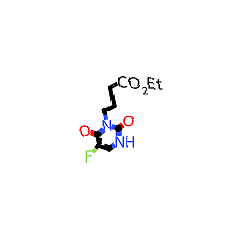 CCOC(=O)CCCn1c(=O)[nH]cc(F)c1=O